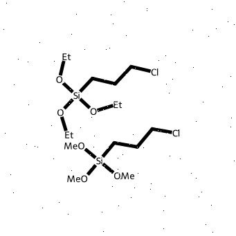 CCO[Si](CCCCl)(OCC)OCC.CO[Si](CCCCl)(OC)OC